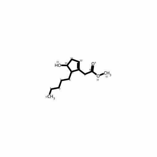 CCCCCC1C(CC(=O)OC)=CCC1O